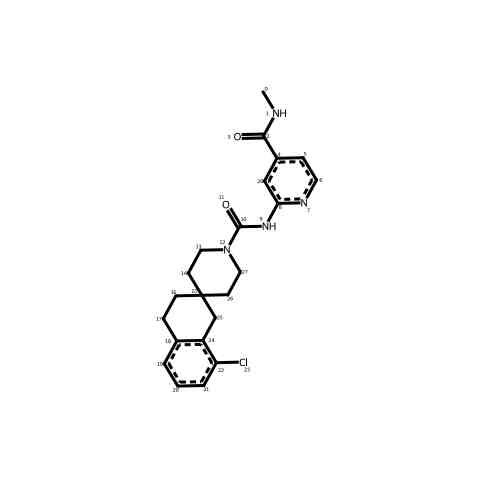 CNC(=O)c1ccnc(NC(=O)N2CCC3(CCc4cccc(Cl)c4C3)CC2)c1